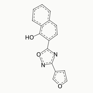 Oc1c(-c2nc(-c3ccoc3)no2)ccc2ccccc12